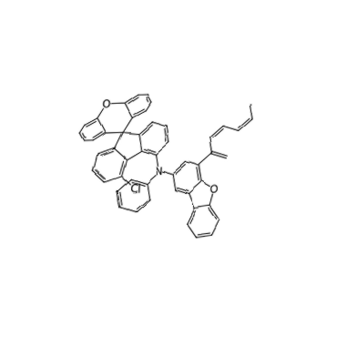 C=C(/C=C\C=C/C)c1cc(N(c2ccccc2)c2cccc3c2-c2c(Cl)cccc2C32c3ccccc3Oc3ccccc32)cc2c1oc1ccccc12